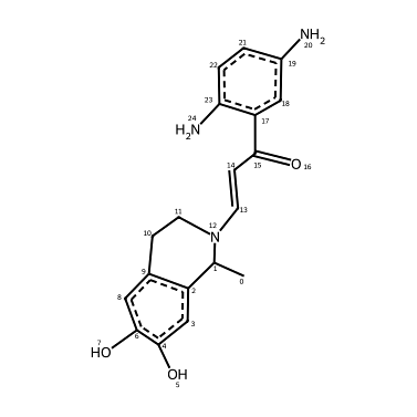 CC1c2cc(O)c(O)cc2CCN1C=CC(=O)c1cc(N)ccc1N